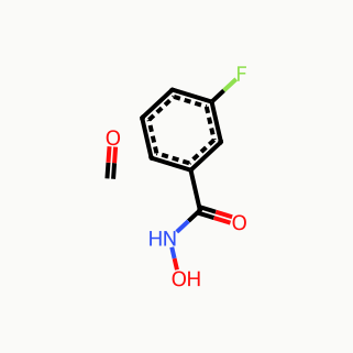 C=O.O=C(NO)c1cccc(F)c1